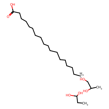 CC(O)CO.CCC(O)O.CCCCCCCCCCCCCCCCCC(=O)O